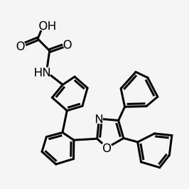 O=C(O)C(=O)Nc1cccc(-c2ccccc2-c2nc(-c3ccccc3)c(-c3ccccc3)o2)c1